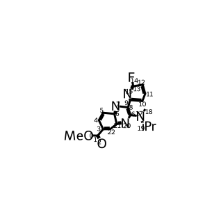 COC(=O)c1ccc2nc(-c3cccc(F)n3)c(N(C)C(C)C)nc2c1